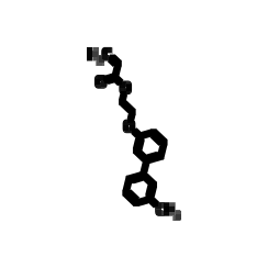 C=CC(=O)OCCOc1cccc(-c2cccc(C)c2)c1